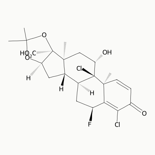 CC1(C)O[C@@H]2C[C@H]3[C@@H]4C[C@H](F)C5=C(Cl)C(=O)C=C[C@]5(C)[C@@]4(Cl)[C@@H](O)C[C@]3(C)[C@]2(C(=O)O)O1